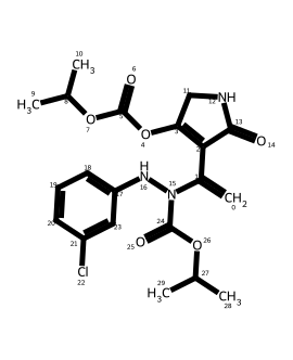 C=C(C1=C(OC(=O)OC(C)C)CNC1=O)N(Nc1cccc(Cl)c1)C(=O)OC(C)C